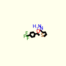 C=C(O/C(=N\N)c1cccs1)c1ccc(C(F)(F)F)cc1